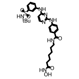 CC(C)(C)NS(=O)(=O)c1cccc(Nc2ccnc(Nc3ccc(C(=O)NCCCCCCC(=O)NO)cc3)n2)c1